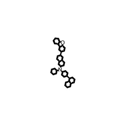 c1ccc(N(c2ccc(-c3cccc4ccccc34)cc2)c2ccc3cc(-c4ccc5oc6ccccc6c5c4)ccc3c2)cc1